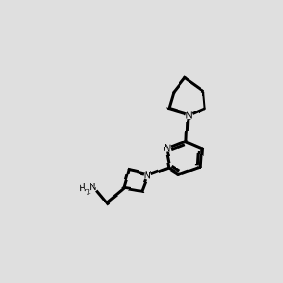 NCC1CN(c2cccc(N3CCCCC3)n2)C1